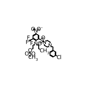 CCCN(CCOS(C)(=O)=O)c1c(C(F)(F)F)cc([N+](=O)[O-])cc1S(=O)(=O)N1CCN(Cc2cccc(Cl)c2)CC1